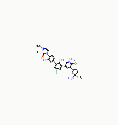 CN(C)/C=C\N(C=O)c1ccc(-c2cc(F)cc(-c3cc(N4CCC(C)(N)C4)c(=O)n(C)c3)c2O)cc1Cl